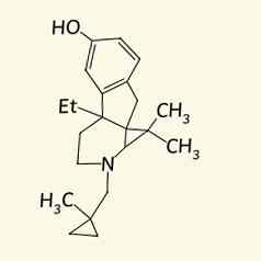 CCC12CCN(CC3(C)CC3)C3C(C)(C)C31Cc1ccc(O)cc12